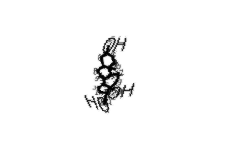 CC12CCC(O)CC1CCC1C2CCC2(C)C1CCC2(O)CO